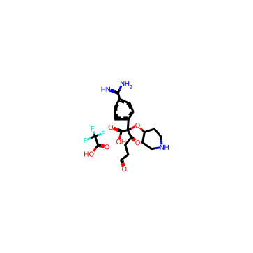 N=C(N)c1ccc(C(OC2CCNCC2)(C(=O)O)C(=O)CCC=O)cc1.O=C(O)C(F)(F)F